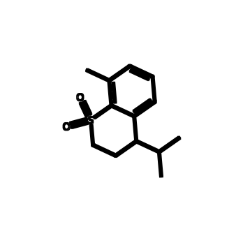 Cc1cccc2c1S(=O)(=O)CCC2C(C)C